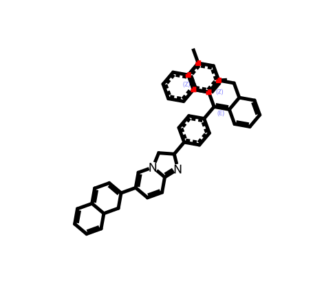 C/C=C(/C=C\CC)C(=C1\C=CC=CC1Cc1ccc2ccccc2c1)\c1ccc(C2CN3C=C(C4=CC=C5C=CC=CC5C4)C=CC3=N2)cc1